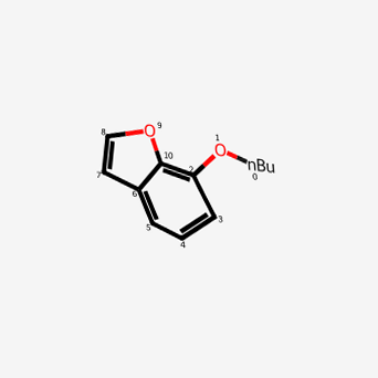 CCCCOc1cccc2ccoc12